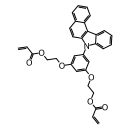 C=CC(=O)OCCOc1cc(OCCOC(=O)C=C)cc(-n2c3ccccc3c3c4ccccc4ccc32)c1